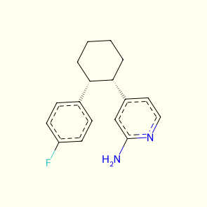 Nc1cc([C@H]2CCCC[C@H]2c2ccc(F)cc2)ccn1